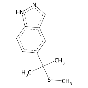 CSC(C)(C)c1ccc2[nH]ncc2c1